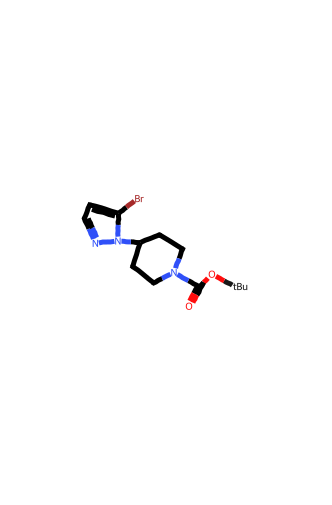 CC(C)(C)OC(=O)N1CCC(n2nccc2Br)CC1